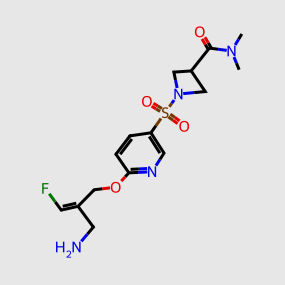 CN(C)C(=O)C1CN(S(=O)(=O)c2ccc(OC/C(=C\F)CN)nc2)C1